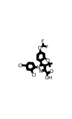 CC1(C)Oc2cc(OC(F)F)ccc2-c2c1c(C(=O)O)nn2-c1ccc(Cl)cc1Cl